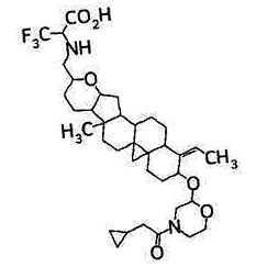 C/C=C1\C(OC2CN(C(=O)CC3CC3)CCO2)CCC23CC24CCC2(C)C5CCC(CNC(C(=O)O)C(F)(F)F)OC5CC2C4CCC13